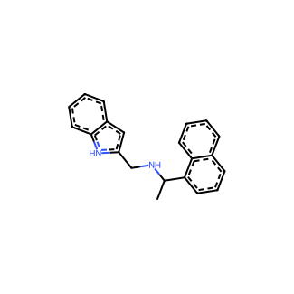 CC(NCc1cc2ccccc2[nH]1)c1cccc2ccccc12